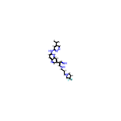 CC(C)c1cnnc(Nc2ccc3ncc(/C(C=N)=C/NCCCN4CCC(F)(F)C4)cc3n2)c1